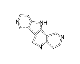 c1cc2[nH]c3c4cnccc4ncc3c2cn1